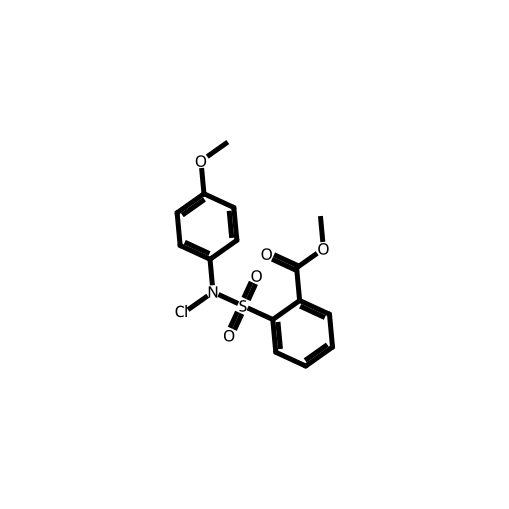 COC(=O)c1ccccc1S(=O)(=O)N(Cl)c1ccc(OC)cc1